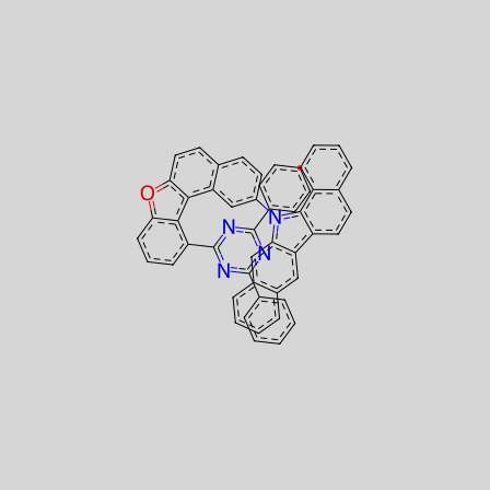 c1ccc(-c2nc(-c3ccccc3)nc(-c3cccc4oc5ccc6ccc(-n7c8cc9ccccc9cc8c8ccc9ccccc9c87)cc6c5c34)n2)cc1